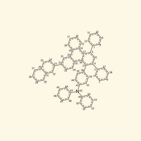 c1ccc(-c2cc(-c3ccccc3)c3c4ccccc4c4cc(-c5ccc6ccccc6c5)ccc4c3c2-c2ccc(N(c3ccccc3)c3ccccc3)cc2)cc1